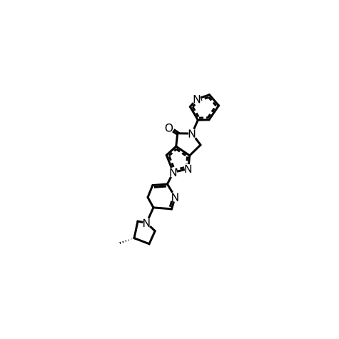 C[C@H]1CCN(C2C=NC(n3cc4c(n3)CN(c3cccnc3)C4=O)=CC2)C1